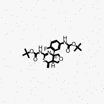 C=C1SC(NC(=O)OC(C)(C)C)=N[C@]2(c3cc(NC(=O)OC(C)(C)C)ccc3F)COC[C@H]12